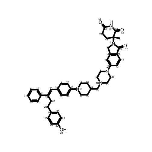 CC1(N2Cc3cc(N4CCN(CC5CCN(c6ccc(/C=C(\CCc7ccc(O)cc7)c7ccccc7)cc6)CC5)CC4)ccc3C2=O)CCC(=O)NC1=O